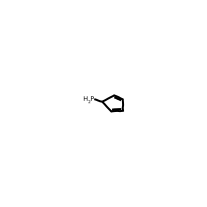 PC1C=CC=C1